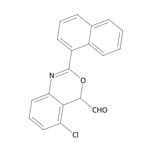 O=CC1OC(c2cccc3ccccc23)=Nc2cccc(Cl)c21